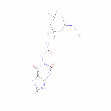 CC1(C)CC(N=C=O)CC(C)(CNC(=O)Nn2c(=O)[nH]c3[nH]c(=O)[nH]c3c2=O)C1